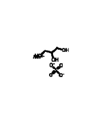 O=S(=O)([O-])[O-].OCC(O)CO.[Mn+2]